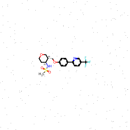 CS(=O)(=O)N[C@H]1CCOC[C@@H]1COc1ccc(-c2ccc(C(F)(F)F)cn2)cc1